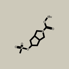 CC(C)(C)OC(=O)N1CC2CC(OS(C)(=O)=O)CC2C1